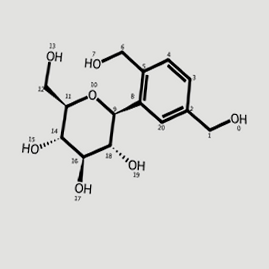 OCc1ccc(CO)c([C@@H]2O[C@H](CO)[C@@H](O)[C@H](O)[C@H]2O)c1